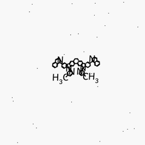 Cc1ccnc(-n2c3c(c4cc5c(cc42)-c2cc4c(cc2CC5)c2cc(-c5nccc6ccccc56)ccc2n4-c2cc(C)ccn2)C=C(c2nccc4ccccc24)CC3)c1